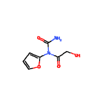 NC(=O)N(C(=O)CO)c1ccco1